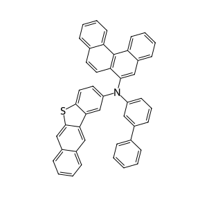 c1ccc(-c2cccc(N(c3ccc4sc5cc6ccccc6cc5c4c3)c3cc4ccccc4c4c3ccc3ccccc34)c2)cc1